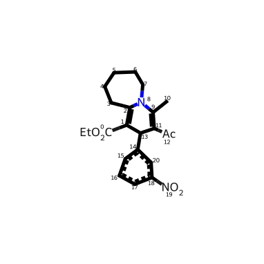 CCOC(=O)C1=C2CCCCCN2C(C)=C(C(C)=O)C1c1cccc([N+](=O)[O-])c1